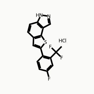 CC(F)(F)c1cc(F)ccc1-c1cc2ccc3[nH]ncc3c2s1.Cl